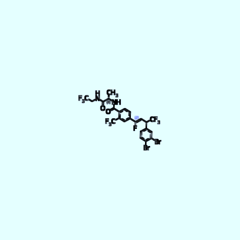 C[C@@H](NC(=O)c1ccc(/C(F)=C/C(c2ccc(Br)c(Br)c2)C(F)(F)F)cc1C(F)(F)F)C(=O)NCC(F)(F)F